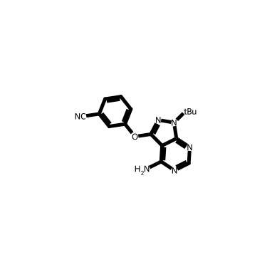 CC(C)(C)n1nc(Oc2cccc(C#N)c2)c2c(N)ncnc21